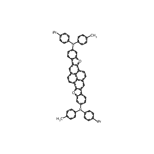 Cc1ccc(N(c2ccc(C(C)C)cc2)c2ccc3c(c2)oc2c3cc3ccc4c5oc6cc(N(c7ccc(C)cc7)c7ccc(C(C)C)cc7)ccc6c5cc5ccc2c3c54)cc1